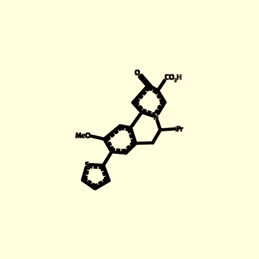 COc1cc2c(cc1-c1cccs1)CC(C(C)C)n1cc(C(=O)O)c(=O)cc1-2